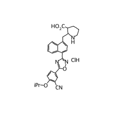 CC(C)Oc1ccc(-c2nc(-c3ccc(CC4NCCCC4C(=O)O)c4ccccc34)no2)cc1C#N.Cl